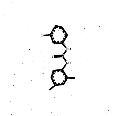 Cc1ccc(NC(=S)Nc2cccc(Cl)c2)c(C)c1